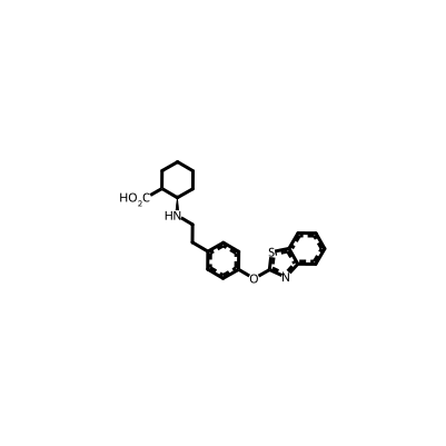 O=C(O)C1CCCC[C@H]1NCCc1ccc(Oc2nc3ccccc3s2)cc1